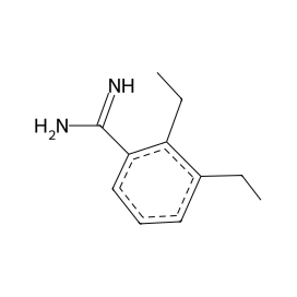 CCc1cccc(C(=N)N)c1CC